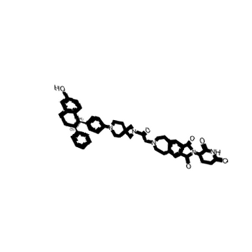 O=C1CCC(N2C(=O)c3cc4c(cc3C2=O)CCN(CC(=O)N2CC3(CCN(c5ccc([C@@H]6c7ccc(O)cc7CC[C@@H]6c6ccccc6)cc5)CC3)C2)CC4)C(=O)N1